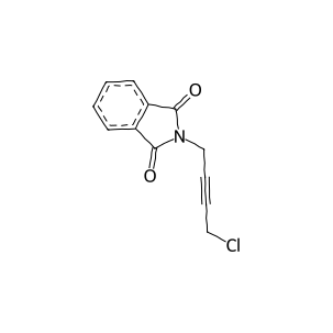 O=C1c2ccccc2C(=O)N1CC#CCCl